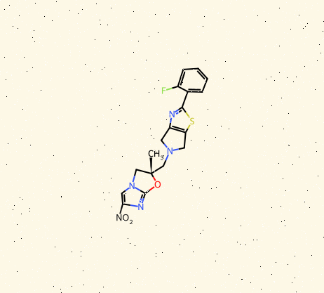 C[C@]1(CN2Cc3nc(-c4ccccc4F)sc3C2)Cn2cc([N+](=O)[O-])nc2O1